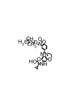 CS(C)(C)CCOCn1c(=O)oc2ccc(-c3nc4cc(N[C@H](C(=O)O)C5CC5)cc5c4n3CCCO5)cc21